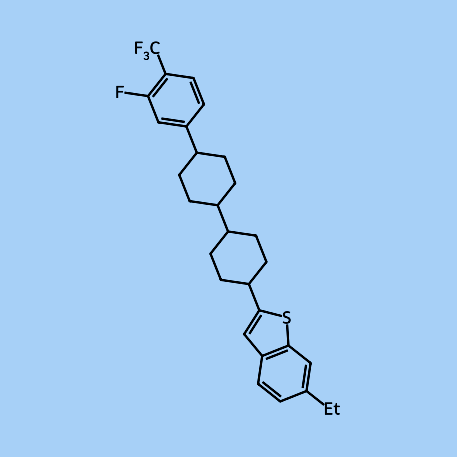 CCc1ccc2cc(C3CCC(C4CCC(c5ccc(C(F)(F)F)c(F)c5)CC4)CC3)sc2c1